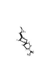 COC=C1CC2(CCN(C(=O)O)CC2)C1